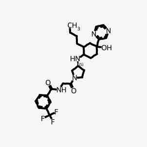 CCCCC1CC(O)(c2cnccn2)CCC1N[C@H]1CCN(C(=O)CNC(=O)c2cccc(C(F)(F)F)c2)C1